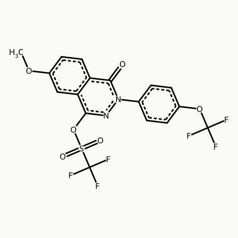 COc1ccc2c(=O)n(-c3ccc(OC(F)(F)F)cc3)nc(OS(=O)(=O)C(F)(F)F)c2c1